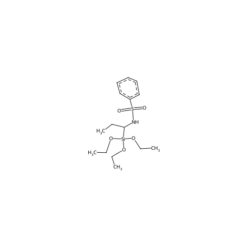 CCO[Si](OCC)(OCC)C(CC)NS(=O)(=O)c1ccccc1